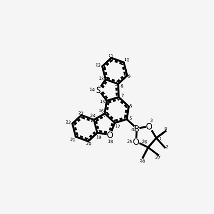 CC1(C)OB(c2cc3c4ccccc4sc3c3c2oc2ccccc23)OC1(C)C